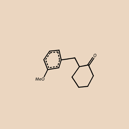 COc1cccc(CC2CCCCC2=O)c1